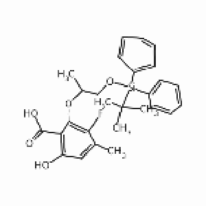 Cc1cc(O)c(C(=O)O)c(OC(C)CO[Si](c2ccccc2)(c2ccccc2)C(C)(C)C)c1F